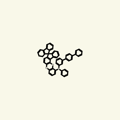 C1=CC2=C(CC1)C1(c3ccccc32)c2ccccc2-c2c1ccc1c2Oc2c(cccc2N(c2ccccc2)c2cccc(-c3ccc(-c4ccccc4)cc3)c2)O1